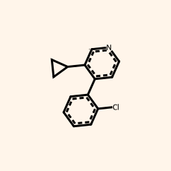 Clc1ccccc1-c1ccn[c]c1C1CC1